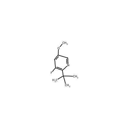 COc1cnc(C(C)(C)C)c(F)c1